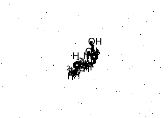 [2H]C([2H])(N[C@H](C)Cc1cc2c(c(C(N)=O)c1)N(CCCO)CC2)C([2H])([2H])Oc1ccccc1OC([2H])([2H])C(F)(F)F